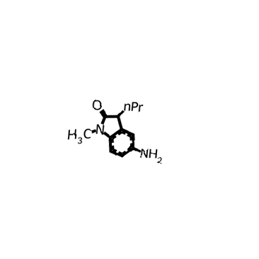 CCCC1C(=O)N(C)c2ccc(N)cc21